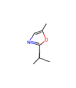 Cc1cnc(C(C)C)o1